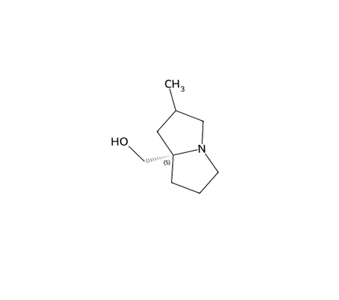 CC1CN2CCC[C@@]2(CO)C1